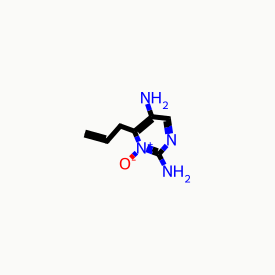 C=CCc1c(N)cnc(N)[n+]1[O-]